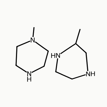 CC1CNCCN1.CN1CCNCC1